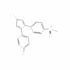 CCC1C=C(c2ccc(F)cc2)C(c2ccc(S(C)(=O)=O)cc2)=C1